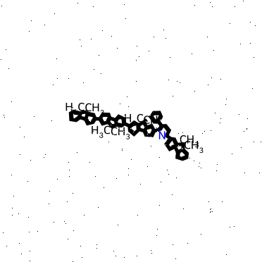 CC1(C)c2ccccc2-c2ccc(-c3ccc4c(c3)C(C)(C)c3cc(-c5ccc6c(c5)C(C)(C)c5cc(-c7nc(-c8ccc9c(c8)C(C)(C)c8ccccc8-9)ccc7-c7ccccc7)ccc5-6)ccc3-4)cc21